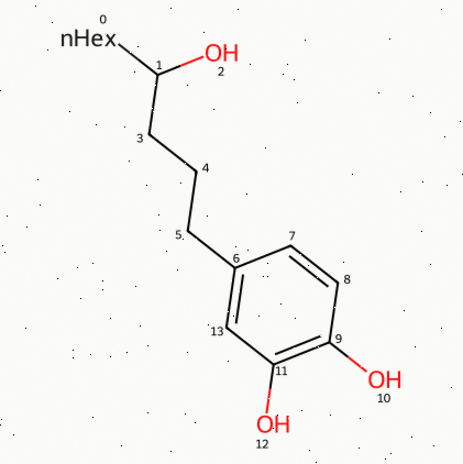 CCCCCCC(O)CCCc1ccc(O)c(O)c1